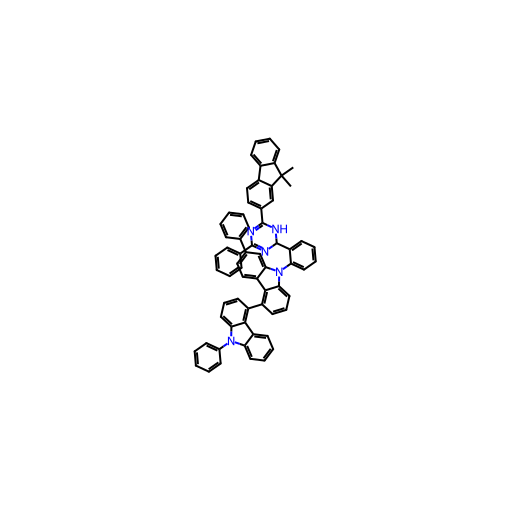 CC1(C)c2ccccc2-c2ccc(C3=NC(c4ccccc4)=NC(c4ccccc4-n4c5cc(-c6ccccc6)ccc5c5c(-c6cccc7c6c6ccccc6n7-c6ccccc6)cccc54)N3)cc21